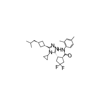 Cc1ccc(NC(=O)[C@H]2CC(F)(F)C[C@@H]2c2nnc([C@H]3C[C@@H](CC(C)C)C3)n2C2CC2)c(C)c1